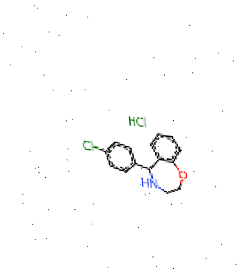 Cl.Clc1ccc(C2NCCOc3ccccc32)cc1